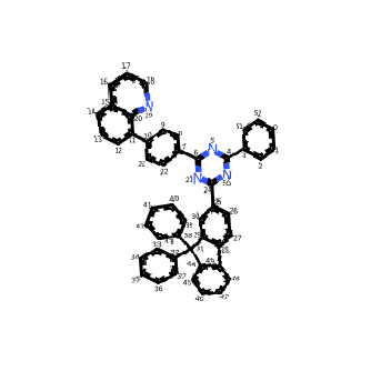 c1ccc(-c2nc(-c3ccc(-c4cccc5cccnc45)cc3)nc(-c3ccc4c(c3)C(c3ccccc3)(c3ccccc3)c3ccccc3-4)n2)cc1